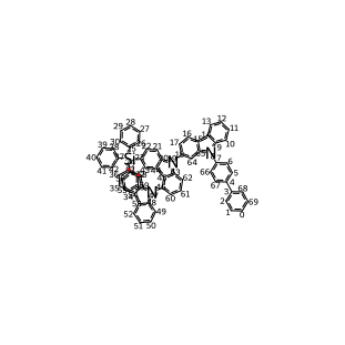 c1ccc(-c2ccc(-n3c4ccccc4c4ccc(-n5c6ccc([Si](c7ccccc7)(c7ccccc7)c7ccccc7)cc6c6c(-n7c8ccccc8c8ccccc87)cccc65)cc43)cc2)cc1